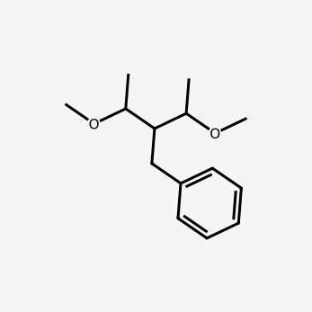 COC(C)C(Cc1ccccc1)C(C)OC